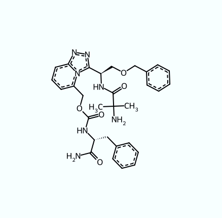 CC(C)(N)C(=O)N[C@H](COCc1ccccc1)c1nnc2cccc(COC(=O)N[C@H](Cc3ccccc3)C(N)=O)n12